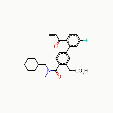 C=CC(=O)c1ccc(F)cc1-c1ccc(C(=O)N(C)CC2CCCCC2)c(CC(=O)O)c1